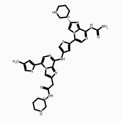 Cc1csc(-c2cnc(Nc3csc(-c4cnc(NC(N)=O)c5nc([C@H]6CCCNC6)cn45)c3)c3nc(CC(=O)N[C@@H]4CCCNC4)cn23)c1